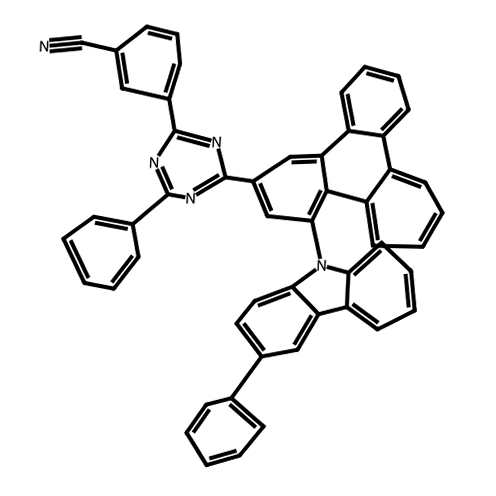 N#Cc1cccc(-c2nc(-c3ccccc3)nc(-c3cc(-n4c5ccccc5c5cc(-c6ccccc6)ccc54)c4c5ccccc5c5ccccc5c4c3)n2)c1